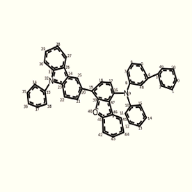 c1ccc(-c2cccc(N(c3ccccc3)c3ccc(-c4ccc5c(c4)c4ccccc4n5-c4ccccc4)c4oc5ccccc5c34)c2)cc1